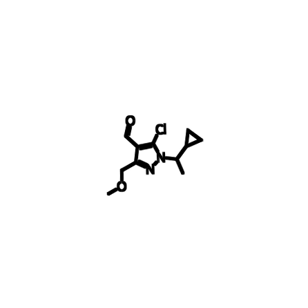 COCc1nn(C(C)C2CC2)c(Cl)c1C=O